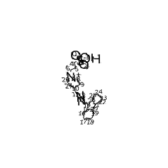 O=S(=O)(O)CCC[n+]1ccc(C=NN=C2c3ccccc3-c3ccccc32)cc1